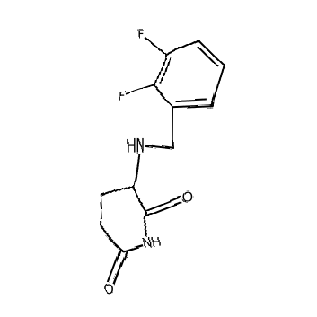 O=C1CCC(NCc2cccc(F)c2F)C(=O)N1